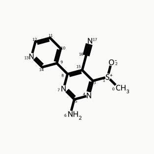 C[S+]([O-])c1nc(N)nc(-c2cccnc2)c1C#N